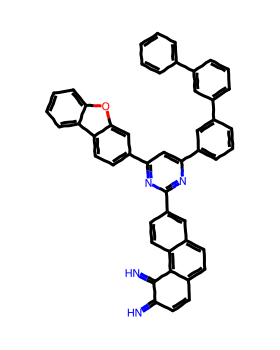 N=C1C=Cc2ccc3cc(-c4nc(-c5cccc(-c6cccc(-c7ccccc7)c6)c5)cc(-c5ccc6c(c5)oc5ccccc56)n4)ccc3c2C1=N